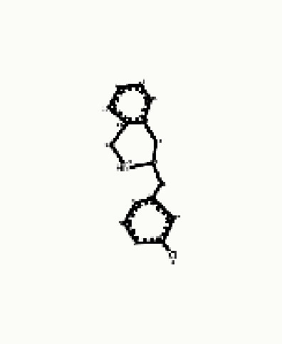 Clc1cccc(CC2Cc3ccccc3CN2)c1